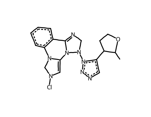 CC1OCCC1c1cnnn1N1CN=C2c3ccccc3N3CN(Cl)C=C3N21